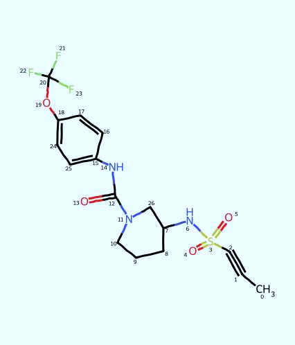 CC#CS(=O)(=O)NC1CCCN(C(=O)Nc2ccc(OC(F)(F)F)cc2)C1